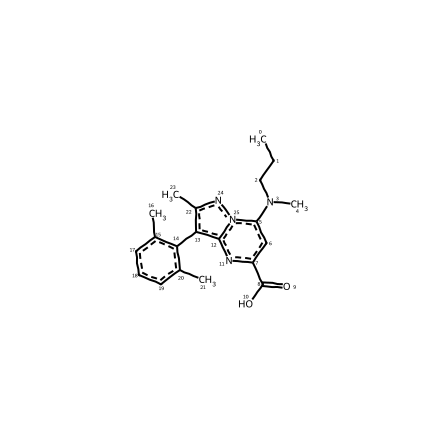 CCCN(C)c1cc(C(=O)O)nc2c(-c3c(C)cccc3C)c(C)nn12